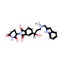 CCC(O)(CCN(C)Cc1cc2ccccc2[nH]1)c1ccc2c(c1)C(=O)N(C1CCC(=O)NC1=O)C2=O